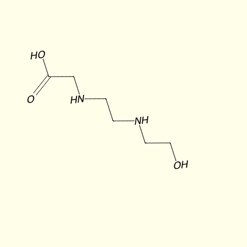 O=C(O)CNCCNCCO